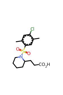 Cc1cc(S(=O)(=O)N2CCCCC2CCC(=O)O)c(C)cc1Cl